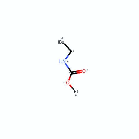 [CH2]COC(=O)NCC(C)CC